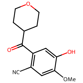 COc1cc(C#N)c(C(=O)C2CCOCC2)cc1O